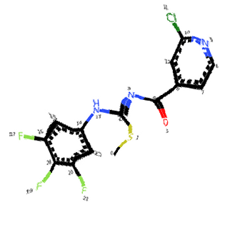 CSC(=NC(=O)c1ccnc(Cl)c1)Nc1cc(F)c(F)c(F)c1